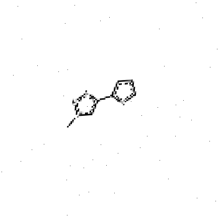 Cn1cc(-c2cccs2)nn1